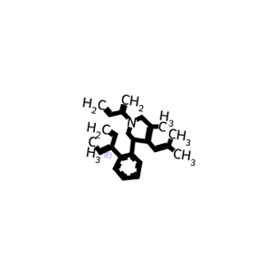 C=CC(=C)N1CC(C)=C(C=C(C)C)C(c2ccccc2/C(C=C)=C/C)C1